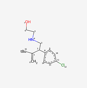 C=C(C(CNCCO)c1ccc(Cl)cc1)C(C)(C)C